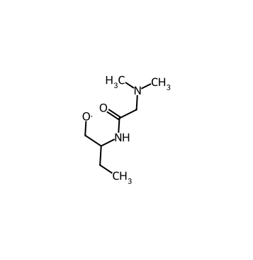 CCC(C[O])NC(=O)CN(C)C